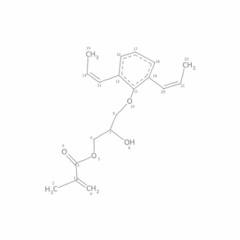 C=C(C)C(=O)OCC(O)COc1c(/C=C\C)cccc1/C=C\C